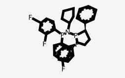 Fc1ccc(P(c2ccc(F)cc2F)N(C2CCCC2)P2[C@@H](c3ccccc3)CC[C@@H]2c2ccccc2)c(F)c1